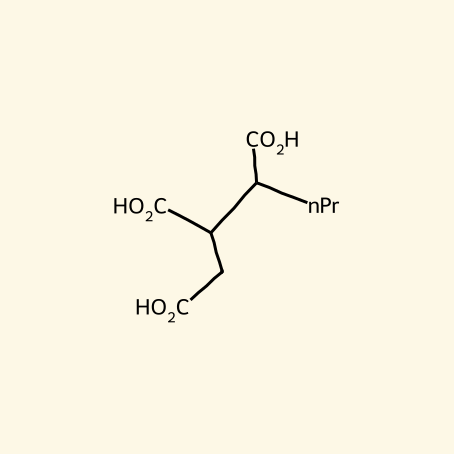 [CH2]CCC(C(=O)O)C(CC(=O)O)C(=O)O